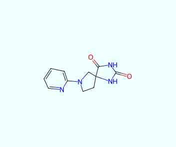 O=C1NC(=O)C2(CCN(c3ccccn3)C2)N1